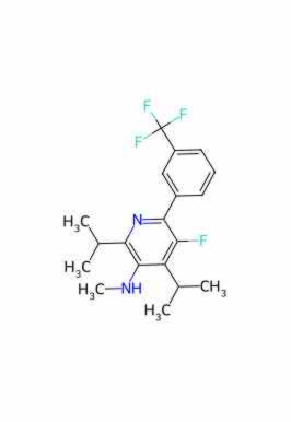 CNc1c(C(C)C)nc(-c2cccc(C(F)(F)F)c2)c(F)c1C(C)C